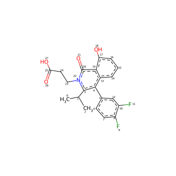 CC(C)c1c(-c2ccc(F)c(F)c2)c2cccc(O)c2c(=O)n1CCC(=O)O